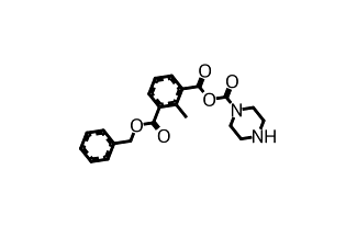 Cc1c(C(=O)OCc2ccccc2)cccc1C(=O)OC(=O)N1CCNCC1